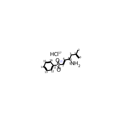 C=C(C)C[C@H](N)/C=C/S(=O)(=O)c1ccccc1.Cl